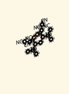 [C-]#[N+]c1cc(C#N)cc(C#N)c1-c1ccc2c(c1)c1ccccc1n2-c1cc(-c2cccc(-c3cc(-c4nc(-c5ccccc5)nc(-c5ccccc5)n4)cc(-n4c5ccccc5c5cc(-c6c(C#N)cc(C#N)cc6[N+]#[C-])ccc54)c3)c2)cc(-c2nc(-c3ccccc3)nc(-c3ccccc3)n2)c1